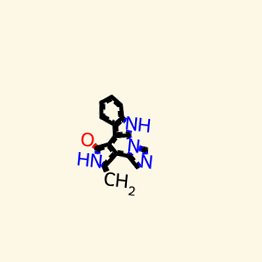 C=c1[nH]c(=O)c2c1c1cncn1c1[nH]c3ccccc3c21